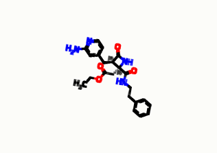 CCOC(=O)C[C@@]1(C(=O)NCCc2ccccc2)NC(=O)[C@@H]1Cc1ccnc(N)c1